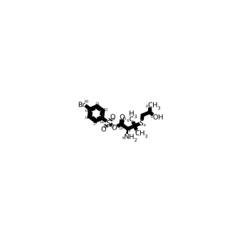 CC(O)CSC(C)(C)[C@@H](N)C(=O)OS(=O)(=O)c1ccc(Br)cc1